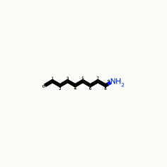 CCCCCCCC[CH]N